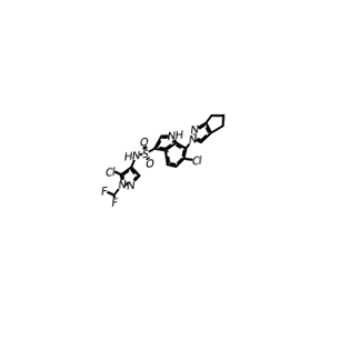 O=S(=O)(Nc1cnn(C(F)F)c1Cl)c1c[nH]c2c(-n3cc4c(n3)CCC4)c(Cl)ccc12